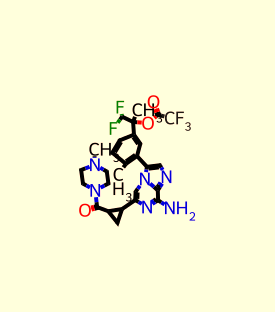 Cc1ccc(C(C)(OC(=O)C(F)(F)F)C(F)F)cc1-c1cnc2c(N)nc(C3CC3C(=O)N3CCN(C)CC3)cn12